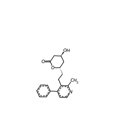 Cc1nccc(-c2ccccc2)c1CC[C@H]1C[C@H](O)CC(=O)O1